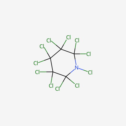 ClN1C(Cl)(Cl)C(Cl)(Cl)C(Cl)(Cl)C(Cl)(Cl)C1(Cl)Cl